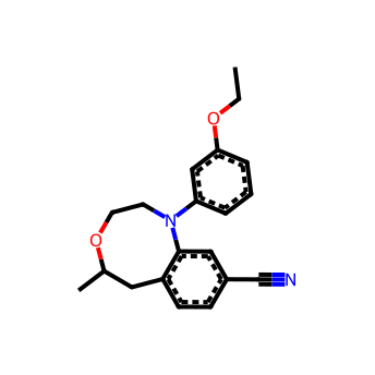 CCOc1cccc(N2CCOC(C)Cc3ccc(C#N)cc32)c1